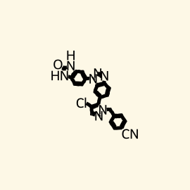 N#Cc1ccc(Cn2ncc(Cl)c2-c2ccc3nnn(-c4ccc5[nH]c(=O)[nH]c5c4)c3c2)cc1